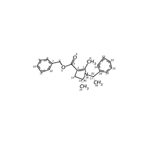 CC1=C(C(=O)OCc2ccccc2)C[C@@H](C)N1[C@@H](C)c1ccccc1